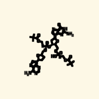 CC(C)(C)C(=O)OCSP(=O)(O)OCC1OC(n2cnc3c(=O)[nH]c(N)nc32)C[C@@H]1OP(=O)(OCC1CCC(n2cnc3c(N)ncnc32)O1)SCOC(=O)C(C)(C)C